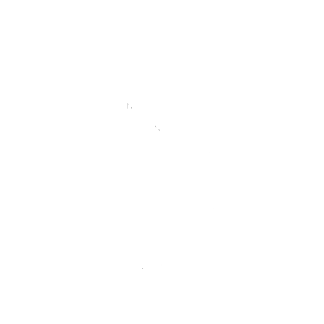 CC1(C)c2cc(-c3cccc(C4=CCCC(C5=NC(C6C=CC=CC6)=NC(C6C=CC=CC6)=CC5)=C4)c3)ccc2C2C=CC=CC21C